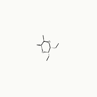 CC[C@@H]1OC(C)C(C)O[C@@H]1CC